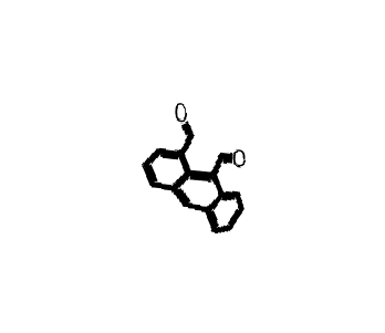 O=Cc1cccc2cc3ccccc3c(C=O)c12